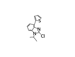 CC(C)n1c(Cl)nc2c(-c3cccs3)cccc21